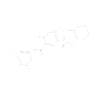 O=C(Nc1cc(F)c(F)c(F)c1)c1cc(S(=O)(=O)NC2CCCCC2O)c(F)cc1F